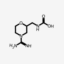 N=C(N)N1CCOC(CNC(=O)O)C1